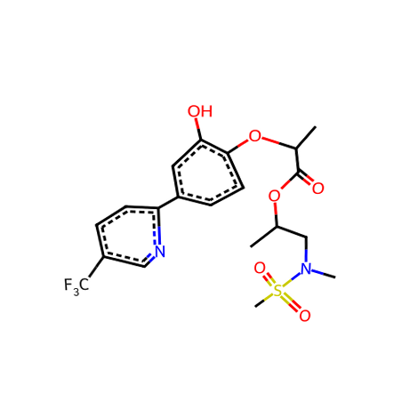 CC(CN(C)S(C)(=O)=O)OC(=O)C(C)Oc1ccc(-c2ccc(C(F)(F)F)cn2)cc1O